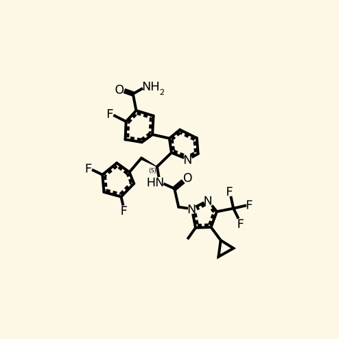 Cc1c(C2CC2)c(C(F)(F)F)nn1CC(=O)N[C@@H](Cc1cc(F)cc(F)c1)c1ncccc1-c1ccc(F)c(C(N)=O)c1